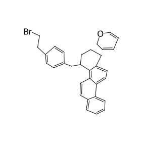 BrCCc1ccc(CC2CCCc3ccc4c(ccc5ccccc54)c32)cc1.C1=CCOC=C1